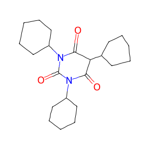 O=C1C(C2CCCCC2)C(=O)N(C2CCCCC2)C(=O)N1C1CCCCC1